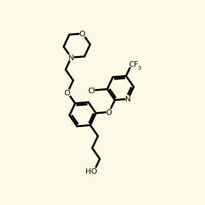 OCCCc1ccc(OCCN2CCOCC2)cc1Oc1ncc(C(F)(F)F)cc1Cl